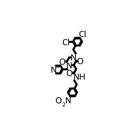 O=C(CC1C(=O)N(CCc2ccc(Cl)cc2Cl)CC(=O)N1Cc1ccncc1)NCCc1ccc([N+](=O)[O-])cc1